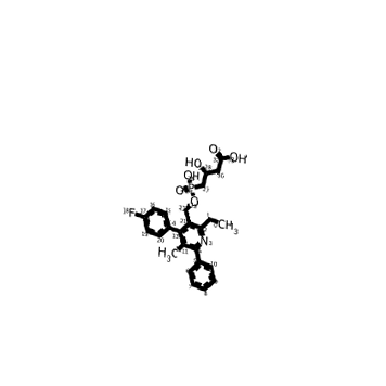 CCc1nc(-c2ccccc2)c(C)c(-c2ccc(F)cc2)c1COP(=O)(O)CC(O)CC(=O)O